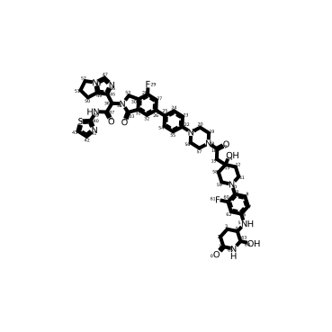 O=C1CCC(Nc2ccc(N3CCC(O)(CC(=O)N4CCN(c5ccc(-c6cc(F)c7c(c6)C(=O)N(C(C(=O)Nc6nccs6)c6ncn8c6CCC8)C7)cc5)CC4)CC3)c(F)c2)C(O)N1